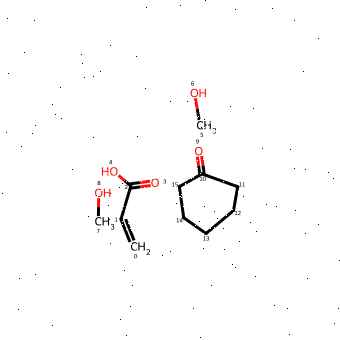 C=CC(=O)O.CO.CO.O=C1CCCCC1